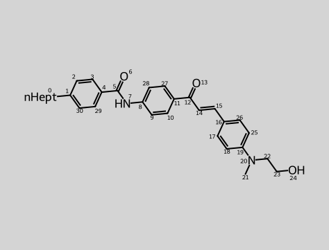 CCCCCCCc1ccc(C(=O)Nc2ccc(C(=O)/C=C/c3ccc(N(C)CCO)cc3)cc2)cc1